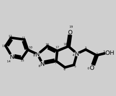 O=C(O)CN1CCc2nn(-c3cccnc3)cc2C1=O